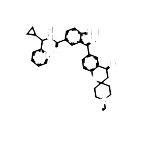 O=CN1CCC2(CC1)CC(=O)c1cc(-c3n[nH]c4ccc(C(=O)NC(c5ccccn5)C5CC5)cc34)ccc1O2